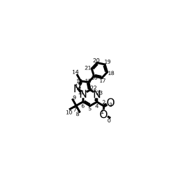 COC(=O)c1cc(C(C)(C)C)n2nc(C)c(-c3ccccc3)c2n1